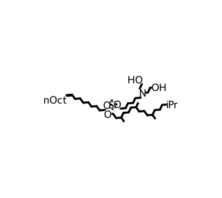 CCCCCCCC/C=C\CCCCCCCC(OCCC(C)CCCC(C)CCCC(C)CCCC(C)C)O[Si](C)(C)OCCCCCCN(CCO)CCO